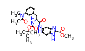 COC(=O)c1nc2cc(NC(=O)C(Cc3cccc(N(C)C(C)=O)c3)NC(=O)OC(C)(C)C)ccc2[nH]1